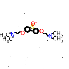 CCN(CC)CCCOc1ccc2c(c1)c1ccc(OCCCN(CC)CC)cc1[s+]2[O-]